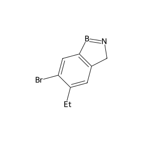 CCc1cc2c(cc1Br)B=NC2